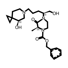 C[C@H]1C(=O)N([C@H](CO)CCCN2CCC3(CC3)[C@H](O)C2)CCN1C(=O)OCc1ccccc1